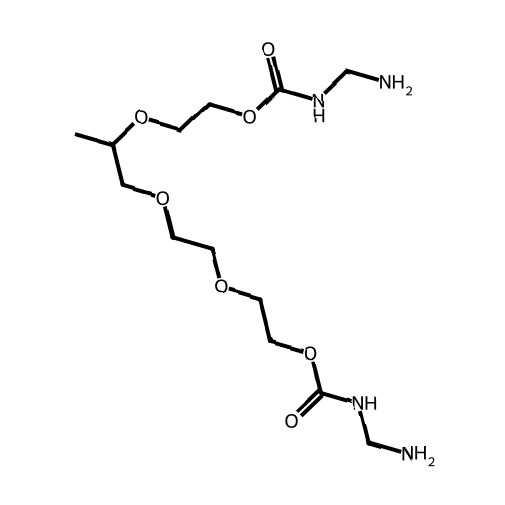 CC(COCCOCCOC(=O)NCN)OCCOC(=O)NCN